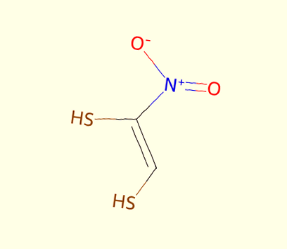 O=[N+]([O-])C(S)=CS